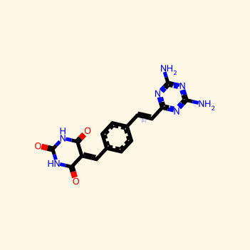 Nc1nc(N)nc(/C=C/c2ccc(C=C3C(=O)NC(=O)NC3=O)cc2)n1